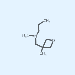 CCCN(C)CC1(C)COC1